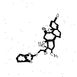 C[C@@H]1CC2C3CCC4=CC(=O)C=CC4(C)C3C(=O)CC2(C)[C@@]1(O)C(=O)CSc1nc2ccccc2s1